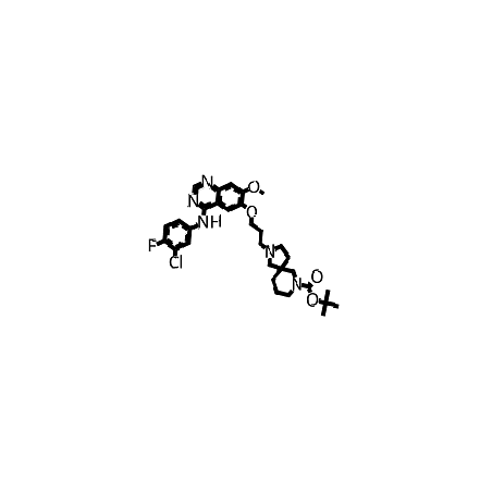 COc1cc2ncnc(Nc3ccc(F)c(Cl)c3)c2cc1OCCCN1CCC2(CCCN(C(=O)OC(C)(C)C)C2)C1